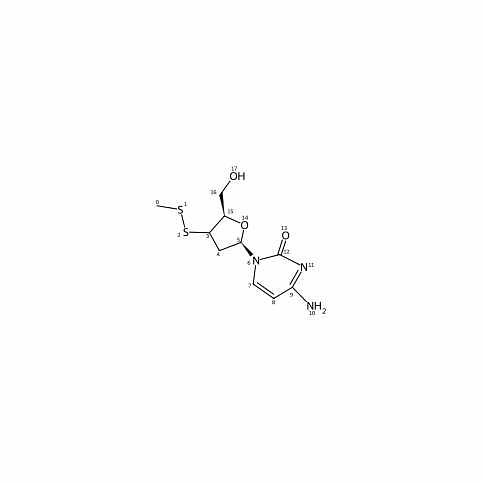 CSSC1C[C@H](n2ccc(N)nc2=O)O[C@@H]1CO